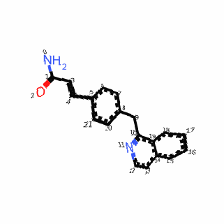 NC(=O)/C=C/c1ccc(Cc2nccc3ccccc23)cc1